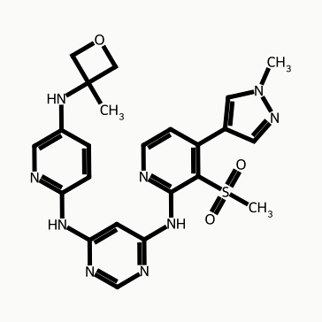 Cn1cc(-c2ccnc(Nc3cc(Nc4ccc(NC5(C)COC5)cn4)ncn3)c2S(C)(=O)=O)cn1